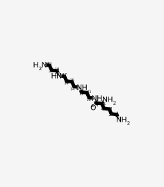 NCCCC[C@H](N)C(=O)NCCCNCCCCNCCCN